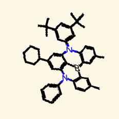 Cc1ccc2c(c1)B1c3cc(C)ccc3N(c3cc(C(C)(C)C)cc(C(C)(C)C)c3)c3cc(C4CCCCC4)cc(c31)N2c1ccccc1